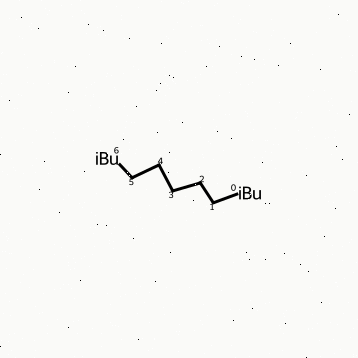 [CH2]C(CC)CCCCCC(C)CC